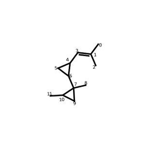 CC(C)=CC1CC1C1(C)CC1C